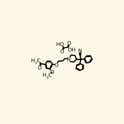 COc1cc(C(C)=O)ccc1OCCCN1CCC(C(C#N)(c2ccccc2)c2ccccc2)CC1.O=C(O)C(=O)O